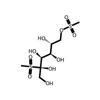 CS(=O)(=O)OC[C@@H](O)[C@@H](O)[C@H](O)[C@](O)(CO)S(C)(=O)=O